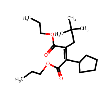 CCCOC(=O)/C(CC(C)(C)C)=C(\C(=O)OCCC)C1CCCC1